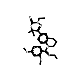 CC/N=C(/c1ccc(OC)cc1OC)N1CCCc2cc(C3=NN(CC)C(=O)SC3(C)C)ccc21